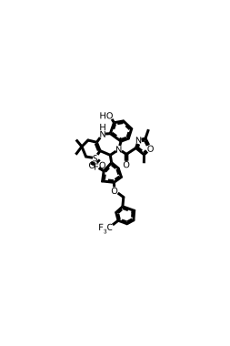 Cc1nc(C(=O)N2c3cccc(O)c3NC3=C(C2c2ccc(OCc4cccc(C(F)(F)F)c4)cc2F)S(=O)(=O)CC(C)(C)C3)c(C)o1